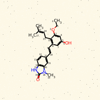 CCOc1cc(O)cc(/C=C/c2ccc3[nH]c(=O)n(C)c3c2)c1CC=C(C)C